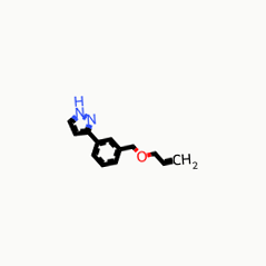 C=CCOCc1cccc(-c2cc[nH]n2)c1